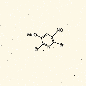 COc1cc(N=O)c(Br)nc1Br